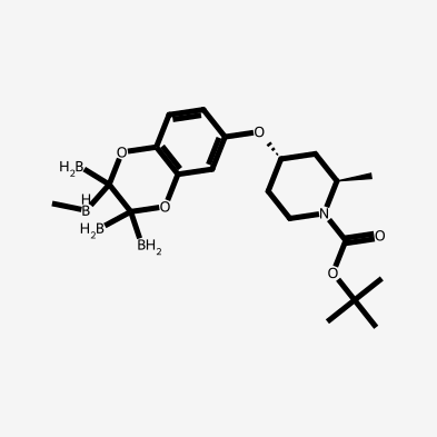 BC1(B)Oc2cc(O[C@H]3CCN(C(=O)OC(C)(C)C)[C@H](C)C3)ccc2OC1(B)BC